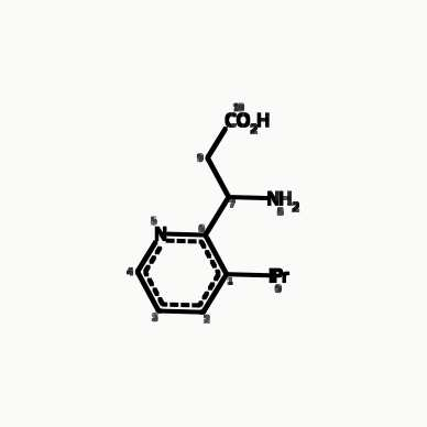 CC(C)c1cccnc1C(N)CC(=O)O